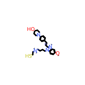 COc1ccc2c(c1)n(C)c(/C=C/c1ccc(N3CCC(O)CC3)cc1)[n+]2CCCC[N+](C)(C)CCS